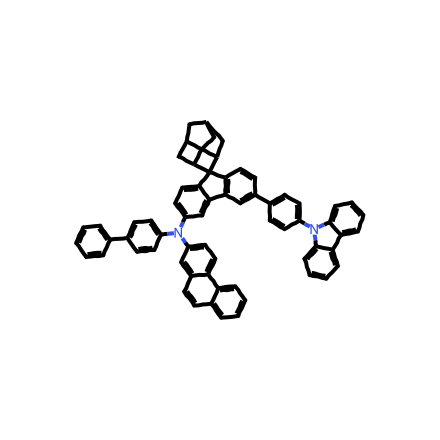 c1ccc(-c2ccc(N(c3ccc4c(c3)-c3cc(-c5ccc(-n6c7ccccc7c7ccccc76)cc5)ccc3C43C4CC5CC6CC3C64C5)c3ccc4c(ccc5ccccc54)c3)cc2)cc1